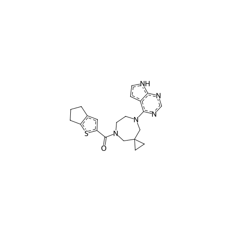 O=C(c1cc2c(s1)CCC2)N1CCN(c2ncnc3[nH]ccc23)CC2(CC2)C1